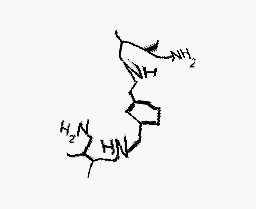 CC(CN)C(C)CNCc1cccc(CNCC(C)C(C)CN)c1